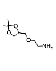 CC1(C)OCC(COCCN)O1